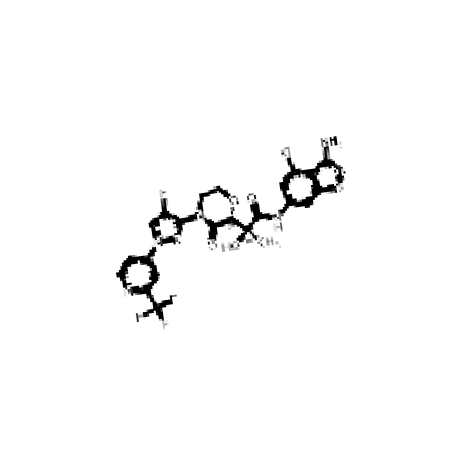 C[C@](O)(C(=O)Nc1cc(Cl)c2c(N)noc2c1)[C@H]1OCCN(c2nn(-c3ccnc(C(F)(F)F)c3)cc2F)C1=O